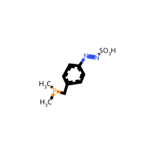 CP(C)Cc1ccc(N=NS(=O)(=O)O)cc1